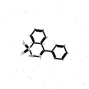 O=S1(=O)NN=C(c2ccccc2)c2ccccc21